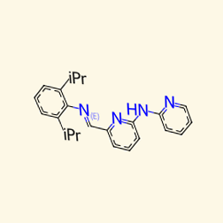 CC(C)c1cccc(C(C)C)c1/N=C/c1cccc(Nc2ccccn2)n1